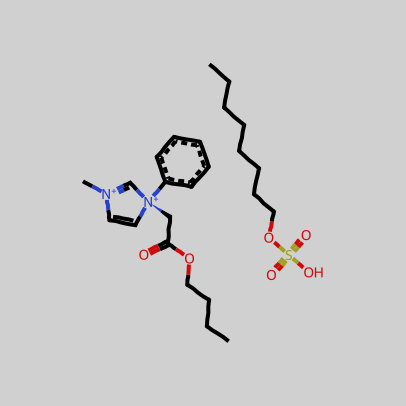 CCCCCCCCOS(=O)(=O)O.CCCCOC(=O)C[N@@+]1(c2ccccc2)C=C[N+](C)=C1